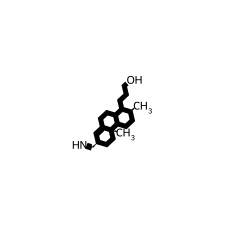 C[C@@H]1CCC2C(CCC3=C[C@@H](C=N)CC[C@@]32C)C1CCCO